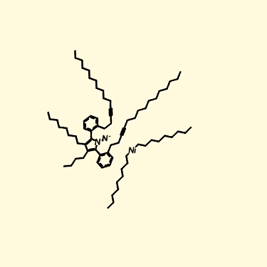 CCCCCCCCCCCC#CCCc1ccccc1C1=C(CCCC)C(CCCCCCCC)=C(c2ccccc2CCC#CCCCCCCCCCCC)[N+]1=[N-].CCCCCCCC[CH2][Ni][CH2]CCCCCCCC